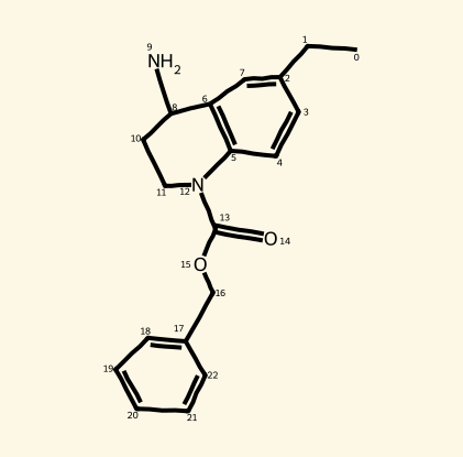 CCc1ccc2c(c1)C(N)CCN2C(=O)OCc1ccccc1